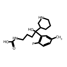 Cc1ccc(F)c(C(O)(CCCNC(=O)O)C2CCCNC2)c1